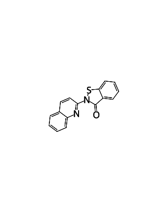 O=c1c2ccccc2sn1-c1ccc2ccccc2n1